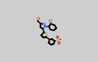 CS(=O)(=O)c1cccc(-c2ccc(-c3cc(C=O)nn3-c3ccccc3Cl)s2)c1